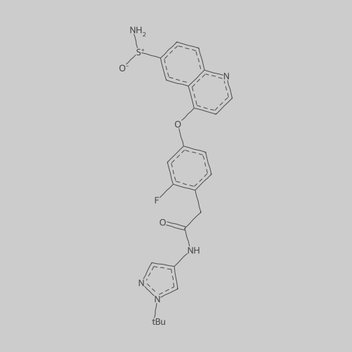 CC(C)(C)n1cc(NC(=O)Cc2ccc(Oc3ccnc4ccc([S+](N)[O-])cc34)cc2F)cn1